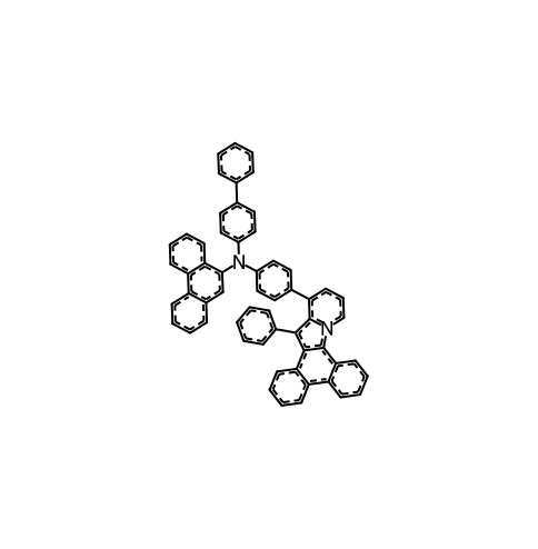 c1ccc(-c2ccc(N(c3ccc(-c4cccn5c4c(-c4ccccc4)c4c6ccccc6c6ccccc6c45)cc3)c3cc4ccccc4c4ccccc34)cc2)cc1